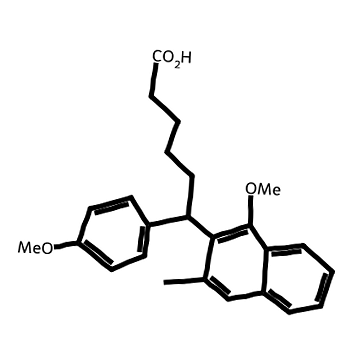 COc1ccc(C(CCCCC(=O)O)c2c(C)cc3ccccc3c2OC)cc1